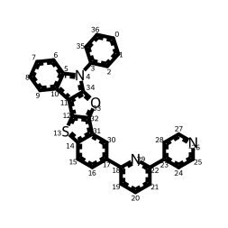 c1ccc(-n2c3ccccc3c3c4sc5ccc(-c6cccc(-c7ccncc7)n6)cc5c4oc32)cc1